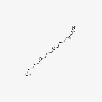 [N-]=[N+]=NCCCCOCCCOCCCCO